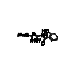 CSc1n[nH]c(NC(=O)c2ccccc2O)n1